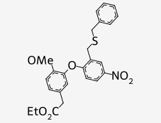 CCOC(=O)Cc1ccc(OC)c(Oc2ccc([N+](=O)[O-])cc2CSCc2ccccc2)c1